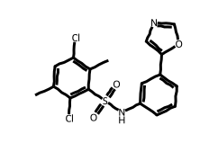 Cc1cc(Cl)c(C)c(S(=O)(=O)Nc2cccc(-c3cnco3)c2)c1Cl